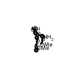 COCCCOc1cc(COC2CN(C(=O)OC(C)(C)C)CCC2c2ccc(OCCCOCc3ccccc3OC)cc2)ccc1N